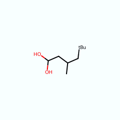 CC(CC(O)O)CC(C)(C)C